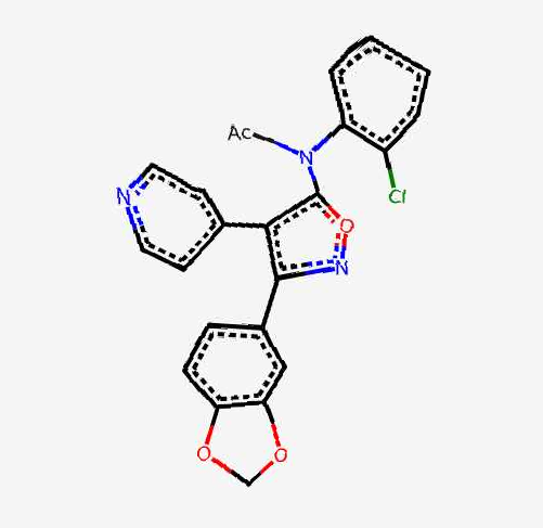 CC(=O)N(c1ccccc1Cl)c1onc(-c2ccc3c(c2)OCO3)c1-c1ccncc1